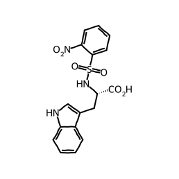 O=C(O)[C@H](Cc1c[nH]c2ccccc12)NS(=O)(=O)c1ccccc1[N+](=O)[O-]